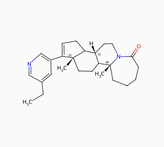 CCc1cncc(C2=CCC3[C@@H]4CCN5C(=O)CCCC[C@]5(C)C4CC[C@]23C)c1